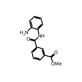 COC(=O)c1cccc(C(=O)Nc2ccccc2N)c1